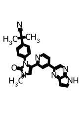 Cn1cc(-c2cc(-c3cnc4[nH]ccc4n3)ccn2)n(-c2ccc(C(C)(C)C#N)cc2)c1=O